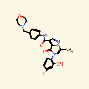 Cc1cn(-c2ccc(F)cc2O)c(=O)c2c(C(=O)Nc3ccc(CN4CCOCC4)cc3)cnn12